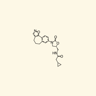 O=C(CC1CC1)NC[C@H]1CN(c2ccc3c(c2)CCCc2cnoc2-3)C(=O)O1